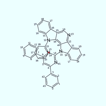 c1ccc(-c2cc(-c3ccccc3)nc(-n3c4ccccc4c4ncc5c6ccccc6n(-c6ccccc6)c5c43)n2)cc1